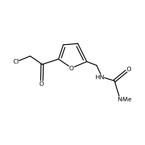 CNC(=O)NCc1ccc(C(=O)CCl)o1